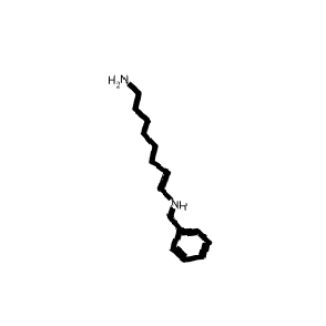 NCCCCCCCCNCc1ccccc1